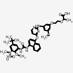 COc1cc(Nc2nccc(Oc3ccc(NC(=O)Nc4cc(C(C)(C)C)cc(N(C)[SH](=O)=O)c4OC)c4ccccc34)n2)cc(OCCOC(C)C(=O)O)c1